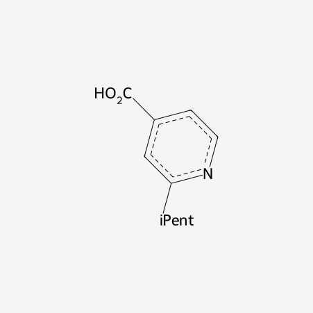 CCCC(C)c1cc(C(=O)O)ccn1